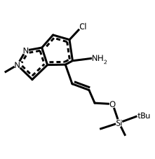 Cn1cc2c(/C=C/CO[Si](C)(C)C(C)(C)C)c(N)c(Cl)cc2n1